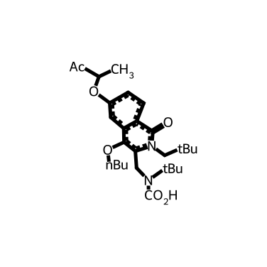 CCCCOc1c(CN(C(=O)O)C(C)(C)C)n(CC(C)(C)C)c(=O)c2ccc(OC(C)C(C)=O)cc12